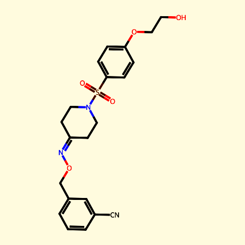 N#Cc1cccc(CON=C2CCN(S(=O)(=O)c3ccc(OCCO)cc3)CC2)c1